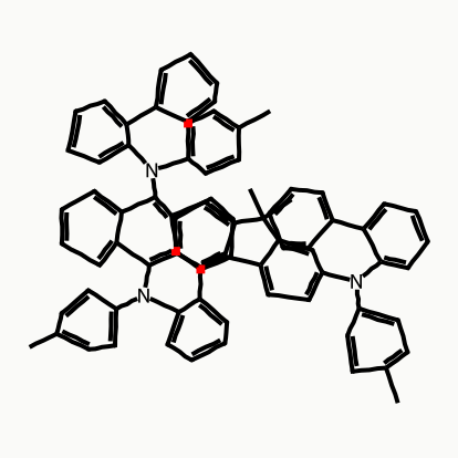 Cc1ccc(N(c2ccc3c(c2)C(C)(C)c2cc4c(N(c5ccc(C)cc5)c5ccccc5-c5ccccc5)c5ccccc5c(N(c5ccc(C)cc5)c5ccccc5-c5ccccc5)c4cc2-3)c2ccccc2-c2ccccc2)cc1